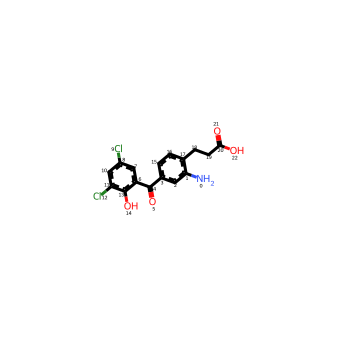 Nc1cc(C(=O)c2cc(Cl)cc(Cl)c2O)ccc1CCC(=O)O